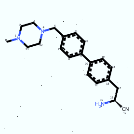 CN1CCN(Cc2ccc(-c3ccc(C[C@H](N)C#N)cc3)cc2)CC1